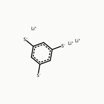 [Li+].[Li+].[Li+].[S-]c1cc([S-])cc([S-])c1